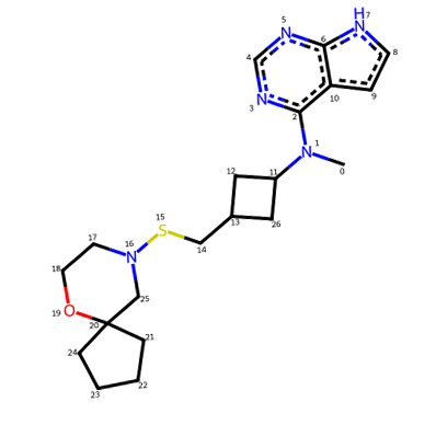 CN(c1ncnc2[nH]ccc12)C1CC(CSN2CCOC3(CCCC3)C2)C1